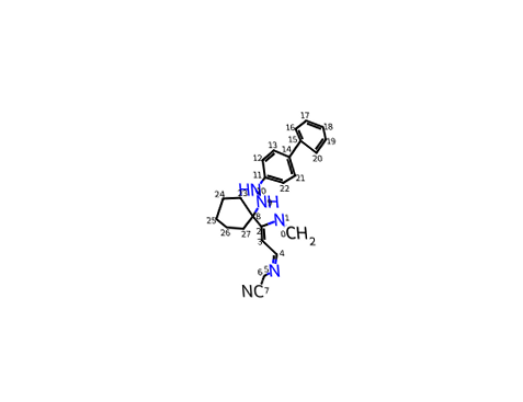 C=N/C(=C\C=N/CC#N)C1(NNc2ccc(-c3ccccc3)cc2)CCCCC1